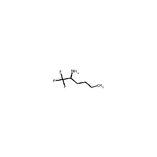 CCCCC(N)C(F)(F)F